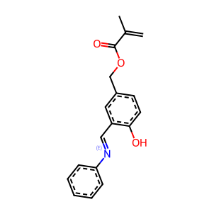 C=C(C)C(=O)OCc1ccc(O)c(/C=N/c2ccccc2)c1